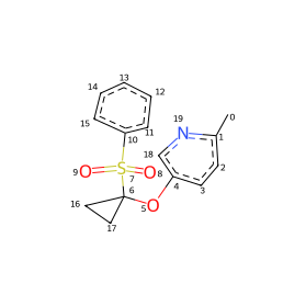 Cc1ccc(OC2(S(=O)(=O)c3ccccc3)CC2)cn1